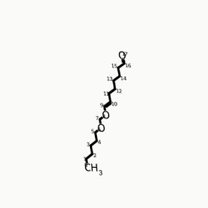 CCCCCCOCOC=CCCCCCC=O